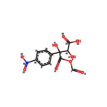 O=COC(=O)C(O)(c1ccc([N+](=O)[O-])cc1)C(O)C(=O)O